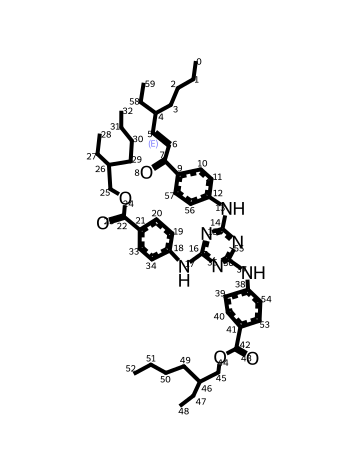 CCCCC(/C=C/C(=O)c1ccc(Nc2nc(Nc3ccc(C(=O)OCC(CC)CCCC)cc3)nc(Nc3ccc(C(=O)OCC(CC)CCCC)cc3)n2)cc1)CC